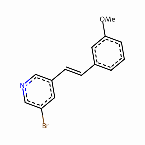 COc1cccc(C=Cc2cncc(Br)c2)c1